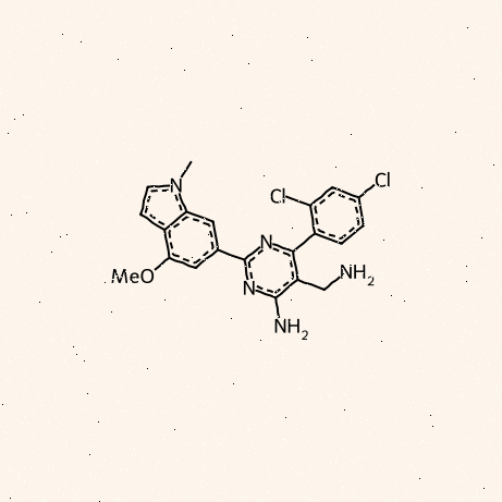 COc1cc(-c2nc(N)c(CN)c(-c3ccc(Cl)cc3Cl)n2)cc2c1ccn2C